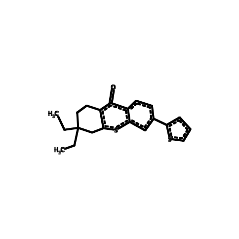 CCC1(CC)CCc2c(sc3cc(-c4cccs4)ccc3c2=O)C1